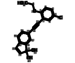 O=C(O)COc1ccc(Cl)cc1C#Cc1ccc2c(c1)S(O)(O)C=C2